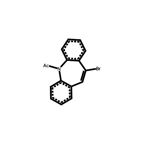 CC(=O)N1c2ccccc2C=C(Br)c2ccccc21